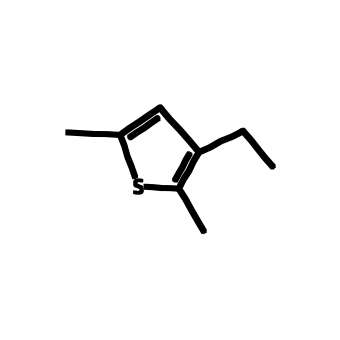 CCc1cc(C)sc1C